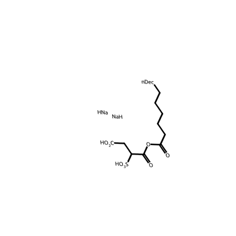 CCCCCCCCCCCCCCCC(=O)OC(=O)C(CC(=O)O)S(=O)(=O)O.[NaH].[NaH]